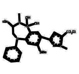 CCCCC1CN(c2ccccc2)c2cc(SC)c(-c3cc(C(=O)OCC)n(C)n3)cc2S(O)(O)N1C